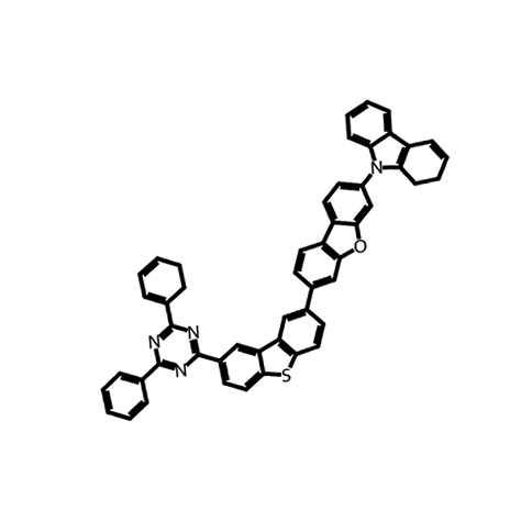 C1=CCCC(c2nc(-c3ccccc3)nc(-c3ccc4sc5ccc(-c6ccc7c(c6)oc6cc(-n8c9c(c%10ccccc%108)C=CCC9)ccc67)cc5c4c3)n2)=C1